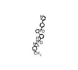 CN1CCc2nc(NC(=O)c3cccc([C@H]4CCCN4C(=O)C4=CCC(c5cccnc5)C=C4)c3)sc2C1